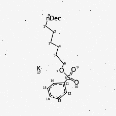 CCCCCCCCCCCCCCCCOS(=O)(=O)c1ccccc1.[K]